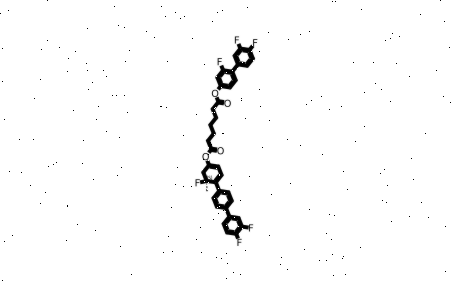 C[C@]1(F)CC(OC(=O)CCCCCC(=O)Oc2ccc(-c3ccc(F)c(F)c3)c(F)c2)=CC=C1c1ccc(-c2ccc(F)c(F)c2)cc1